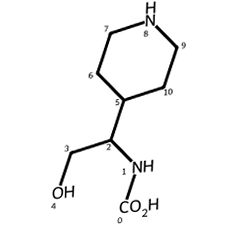 O=C(O)NC(CO)C1CCNCC1